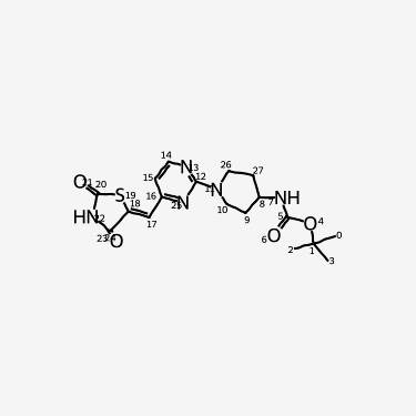 CC(C)(C)OC(=O)NC1CCN(c2nccc(/C=C3\SC(=O)NC3=O)n2)CC1